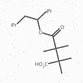 CC(C)CC(OC(=O)C(C)(C)C(C)(C)C(=O)O)C(C)C